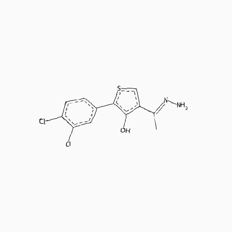 CC(=NN)c1csc(-c2ccc(Cl)c(Cl)c2)c1O